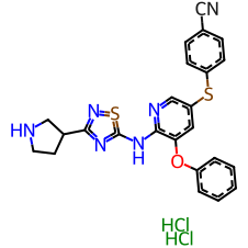 Cl.Cl.N#Cc1ccc(Sc2cnc(Nc3nc(C4CCNC4)ns3)c(Oc3ccccc3)c2)cc1